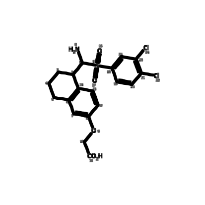 NC(C1CCCc2cc(OCC(=O)O)ccc21)S(=O)(=O)c1ccc(Cl)c(Cl)c1